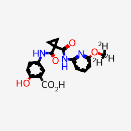 [2H]C([2H])([2H])Oc1cccc(NC(=O)C2(C(=O)Nc3ccc(O)c(C(=O)O)c3)CC2)n1